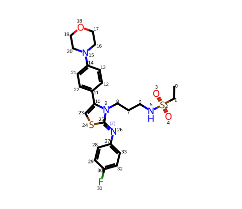 CCS(=O)(=O)NCCCn1c(-c2ccc(N3CCOCC3)cc2)cs/c1=N\c1ccc(F)cc1